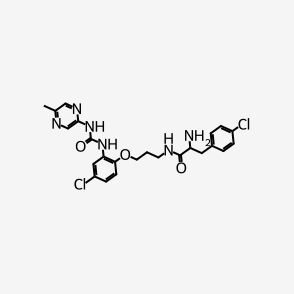 Cc1cnc(NC(=O)Nc2cc(Cl)ccc2OCCCNC(=O)C(N)Cc2ccc(Cl)cc2)cn1